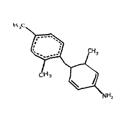 Cc1ccc(C2C=CC(N)=CC2C)c(C)c1